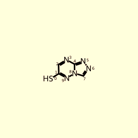 Sc1cnc2nncn2n1